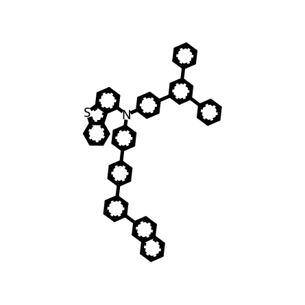 c1ccc(-c2cc(-c3ccccc3)cc(-c3ccc(N(c4ccc(-c5ccc(-c6cccc(-c7ccc8ccccc8c7)c6)cc5)cc4)c4cccc5sc6ccccc6c45)cc3)c2)cc1